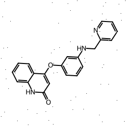 O=c1cc(Oc2cccc(NCc3ccccn3)c2)c2ccccc2[nH]1